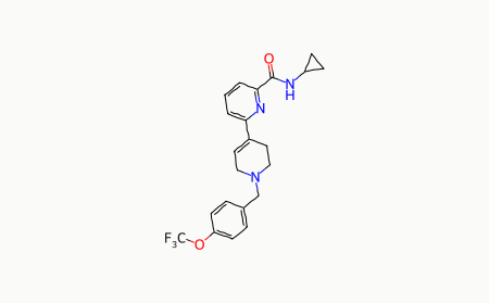 O=C(NC1CC1)c1cccc(C2=CCN(Cc3ccc(OC(F)(F)F)cc3)CC2)n1